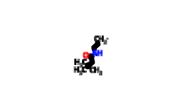 [CH2]CCNC(=O)CC(C)(C)C